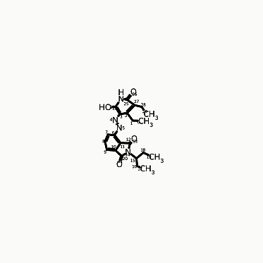 CCc1c(N=Nc2cccc3c2C(=O)N(C(CC)CC)C3=O)c(O)[nH]c(=O)c1CC